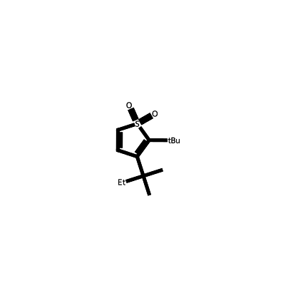 CCC(C)(C)C1=C(C(C)(C)C)S(=O)(=O)C=C1